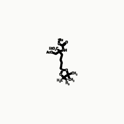 CCOC(=O)C(CCCCB1OC(C)(C)C(C)(C)O1)(COC(C)=O)NC(=O)OC(C)(C)C